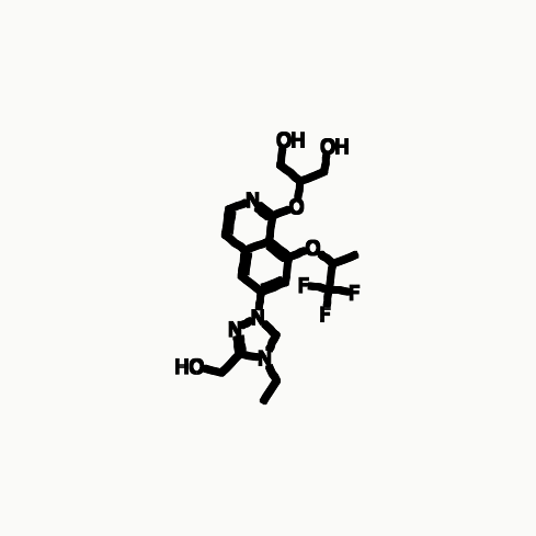 CCN1CN(c2cc(OC(C)C(F)(F)F)c3c(OC(CO)CO)nccc3c2)N=C1CO